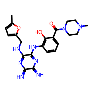 Cc1ccc(CNC2=NC(=N)C(=N)N=C2Nc2cccc(C(=O)N3CCN(C)CC3)c2O)o1